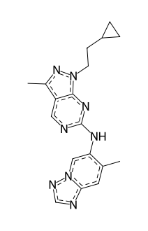 Cc1cc2ncnn2cc1Nc1ncc2c(C)nn(CCC3CC3)c2n1